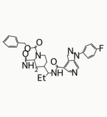 CCC(NC(=O)c1cncc2c1cnn2-c1ccc(F)cc1)C1CCN(C(=O)OCc2ccccc2)C(C(N)=O)C1